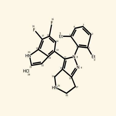 CCc1cccc(CC)c1-n1nc2c(c1-c1cc(F)c(F)c3[nH]ccc13)CNCC2.Cl